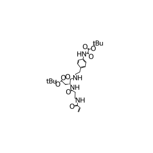 C=CC(=O)NCCC(=O)N[C@@H](CC(=O)OC(C)(C)C)C(=O)NCCc1ccc(NC(=O)C(=O)OC(C)(C)C)cc1